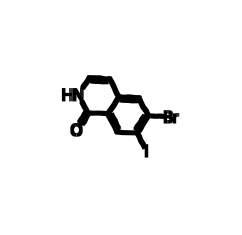 O=c1[nH]ccc2cc(Br)c(I)cc12